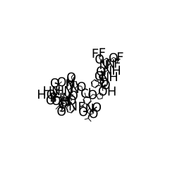 CC(C)=C1OC(=O)N(c2cc(OC3CCCC3)c(Cl)cc2F)C1=O.CCS(=O)(=O)c1cccnc1S(=O)(=O)NC(=O)Nc1nc(OC)cc(OC)n1.O=C(Nc1nc(OC(F)F)cc(OC(F)F)n1)NS(=O)(=O)c1ccccc1C(=O)O.O=C(O)CNCP(=O)(O)O